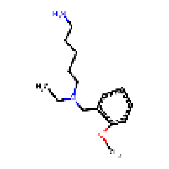 CCN(CCCCCN)Cc1ccccc1OC